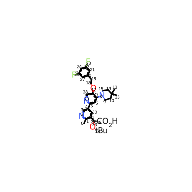 Cc1ncc(-c2cc(N3CCC(C)(C)CC3)c(OCCc3cc(F)cc(F)c3)cn2)cc1[C@H](OC(C)(C)C)C(=O)O